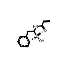 C=CC(=O)NC(Cc1ccccc1)S(=O)(=O)O